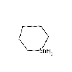 C1C[CH2][SnH2][CH2]C1